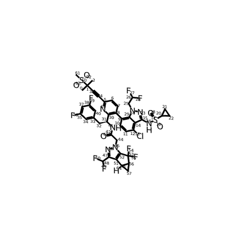 CC(C)(C#Cc1ccc(-c2ccc(Cl)c3c(NS(=O)(=O)C4CC4)nn(CC(F)F)c23)c([C@H](Cc2cc(F)cc(F)c2)NC(=O)Cn2nc(C(F)F)c3c2C(F)(F)C2C[C@H]32)n1)S(C)(=O)=O